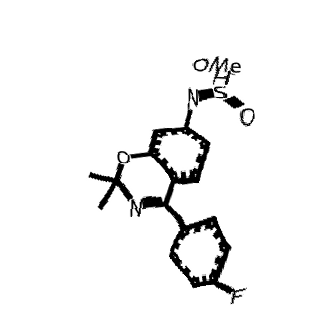 CO[SH](=O)=Nc1ccc2c(c1)OC(C)(C)N=C2c1ccc(F)cc1